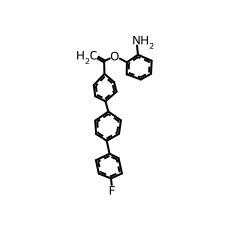 C=C(Oc1ccccc1N)c1ccc(-c2ccc(-c3ccc(F)cc3)cc2)cc1